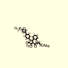 COCCOc1ccccc1C1C(C(=O)C(C)C)=C(O)C(=O)N1c1ccc(-c2coc(C)n2)cc1